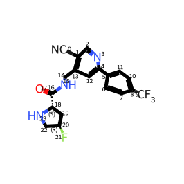 N#Cc1cnc(-c2ccc(C(F)(F)F)cc2)cc1CNC(=O)[C@@H]1C[C@@H](F)CN1